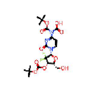 CC(C)(C)OC(=O)O[C@H]1[C@@H](CO)O[C@@H](n2ccc(N(C(=O)O)C(=O)OC(C)(C)C)nc2=O)C1(F)F